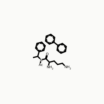 CC(=O)N(C(=O)C(N)CCCN)C(C)c1ccccc1.c1ccc(-c2ccccc2)cc1